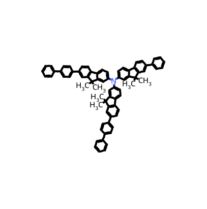 CC1(C)c2cc(-c3ccccc3)ccc2-c2ccc(N(c3ccc4c(c3)C(C)(C)c3cc(-c5ccc(-c6ccccc6)cc5)ccc3-4)c3ccc4c(c3)C(C)(C)c3cc(-c5ccc(-c6ccccc6)cc5)ccc3-4)cc21